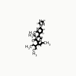 CCC(CC)c1cc(C)n2nc(-c3ccc(-n4cncn4)nc3C)n(C)c(=O)c12